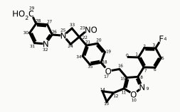 Cc1cc(F)ccc1-c1noc(C2CC2)c1COc1ccc(C2(N=O)CN(c3cc(C(=O)O)ccn3)C2)cc1